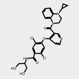 O=C(NC(CO)CO)c1cc(Cl)c(Oc2ccncc2C(=O)N2CCN(C3CC3)c3ccccc32)cc1Cl